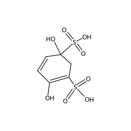 O=S(=O)(O)C1=C(O)C=CC(O)(S(=O)(=O)O)C1